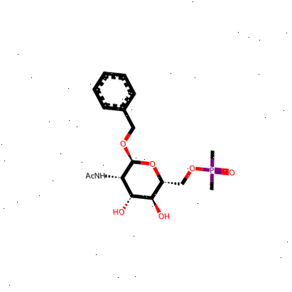 CC(=O)N[C@@H]1[C@@H](OCc2ccccc2)O[C@H](COP(C)(C)=O)[C@@H](O)[C@@H]1O